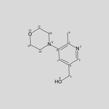 Cc1ncc(CO)cc1N1CCOCC1